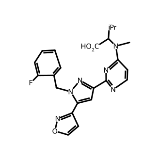 CC(C)C(C(=O)O)N(C)c1ccnc(-c2cc(-c3ccon3)n(Cc3ccccc3F)n2)n1